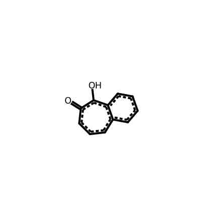 O=c1cccc2ccccc2c1O